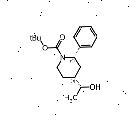 CC(O)[C@@H]1CCN(C(=O)OC(C)(C)C)[C@H](c2ccccc2)C1